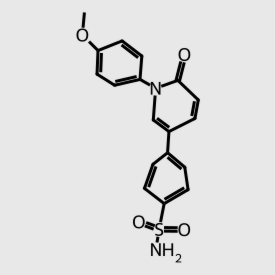 COc1ccc(-n2cc(-c3ccc(S(N)(=O)=O)cc3)ccc2=O)cc1